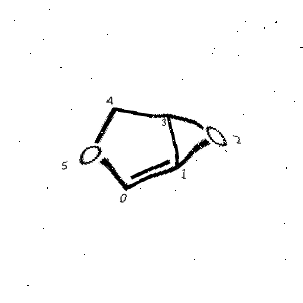 C1=C2OC2CO1